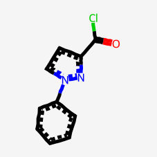 O=C(Cl)c1ccn(-c2ccccc2)n1